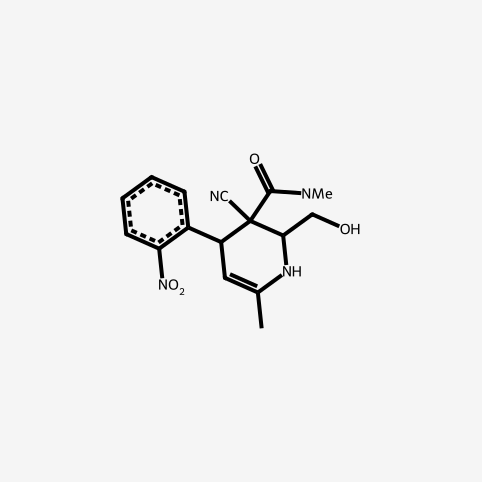 CNC(=O)C1(C#N)C(CO)NC(C)=CC1c1ccccc1[N+](=O)[O-]